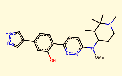 CON(c1ccc(-c2ccc(-c3cn[nH]c3)cc2O)nn1)C1CCN(C)C(C)(C)C1C